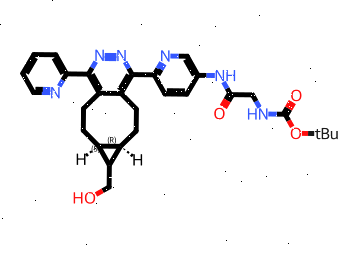 CC(C)(C)OC(=O)NCC(=O)Nc1ccc(-c2nnc(-c3ccccn3)c3c2CC[C@H]2C(CO)[C@H]2CC3)nc1